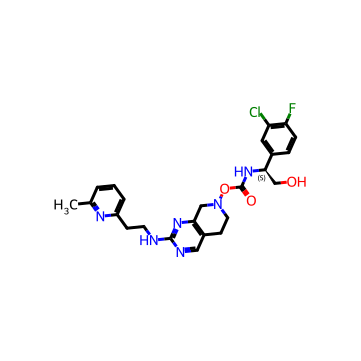 Cc1cccc(CCNc2ncc3c(n2)CN(OC(=O)N[C@H](CO)c2ccc(F)c(Cl)c2)CC3)n1